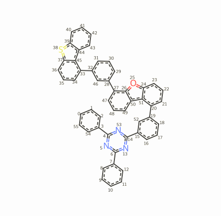 c1ccc(-c2nc(-c3ccccc3)nc(-c3cccc(-c4cccc5oc6c(-c7cccc(-c8cccc9sc%10ccccc%10c89)c7)cccc6c45)c3)n2)cc1